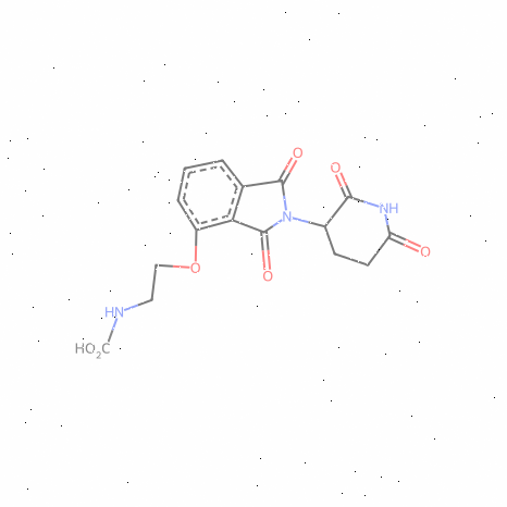 O=C(O)NCCOc1cccc2c1C(=O)N(C1CCC(=O)NC1=O)C2=O